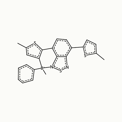 Cc1ccc(-c2ccc3c4c2ns[n+]4[B-](C)(c2ccccc2)c2cc(C)sc2-3)s1